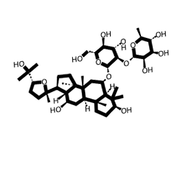 C[C@@H]1O[C@@H](O[C@H]2[C@H](O[C@H]3C[C@]4(C)[C@H](C[C@@H](O)[C@@H]5[C@@H]([C@]6(C)CC[C@H](C(C)(C)O)O6)CC[C@]54C)[C@@]4(C)CC[C@H](O)C(C)(C)[C@H]34)O[C@H](CO)[C@@H](O)[C@@H]2O)[C@H](O)[C@H](O)[C@H]1O